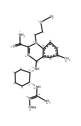 CCOCCN1C(C(N)=O)=NC(N[C@H]2CCCC[C@H]2NC(N)=NOC)c2cc(C)ccc21